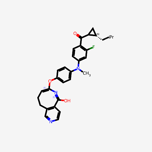 CC(C)C[C@H]1CC1C(=O)c1ccc(N(C)c2ccc(OC3=C/CCc4cnccc4/C(O)=N\3)cc2)cc1F